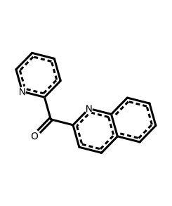 O=C(c1ccccn1)c1ccc2ccccc2n1